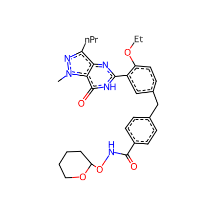 CCCc1nn(C)c2c(=O)[nH]c(-c3cc(Cc4ccc(C(=O)NOC5CCCCO5)cc4)ccc3OCC)nc12